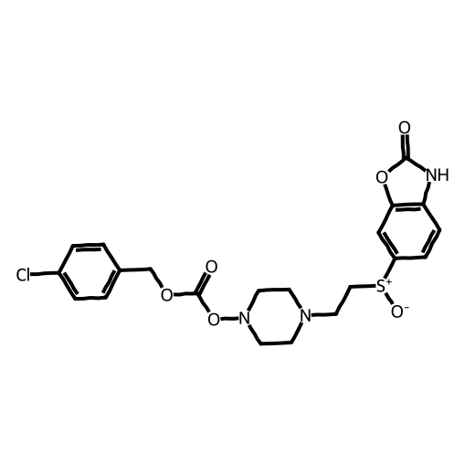 O=C(OCc1ccc(Cl)cc1)ON1CCN(CC[S+]([O-])c2ccc3[nH]c(=O)oc3c2)CC1